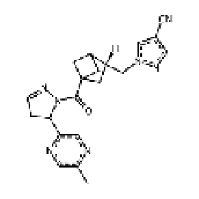 Cc1cnc(C2CC=NN2C(=O)C23CC(C2)[C@H](Cn2cc(C#N)cn2)C3)cn1